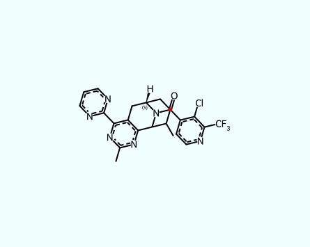 Cc1nc(-c2ncccn2)c2c(n1)C1C(C)CC[C@@H](C2)N1C(=O)c1ccnc(C(F)(F)F)c1Cl